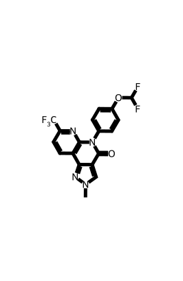 Cn1cc2c(=O)n(-c3ccc(OC(F)F)cc3)c3nc(C(F)(F)F)ccc3c2n1